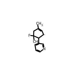 CC1=C[CH]C(c2cccnc2)C(C)(F)C1